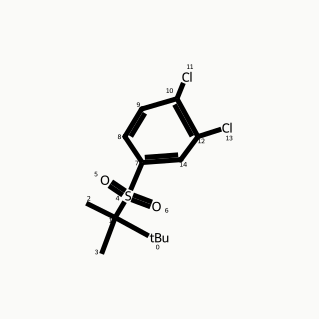 CC(C)(C)C(C)(C)S(=O)(=O)c1ccc(Cl)c(Cl)c1